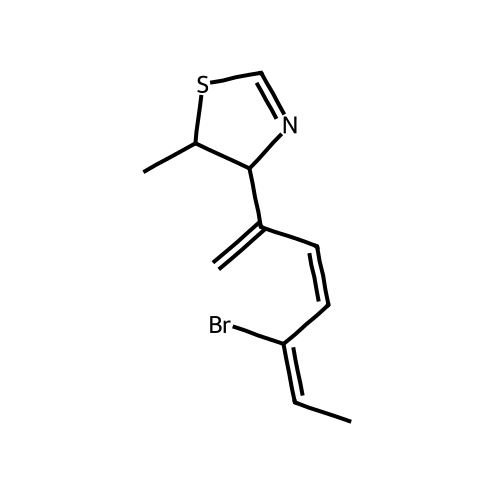 C=C(/C=C\C(Br)=C/C)C1N=CSC1C